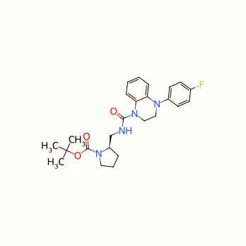 CC(C)(C)OC(=O)N1CCC[C@@H]1CNC(=O)N1CCN(c2ccc(F)cc2)c2ccccc21